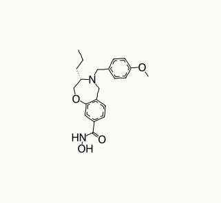 CCC[C@H]1COc2cc(C(=O)NO)ccc2CN1Cc1ccc(OC)cc1